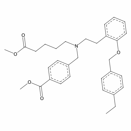 CCc1ccc(COc2ccccc2CCN(CCCCC(=O)OC)Cc2ccc(C(=O)OC)cc2)cc1